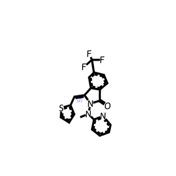 CN(c1ccccn1)N1C(=O)c2ccc(C(F)(F)F)cc2/C1=C/c1cccs1